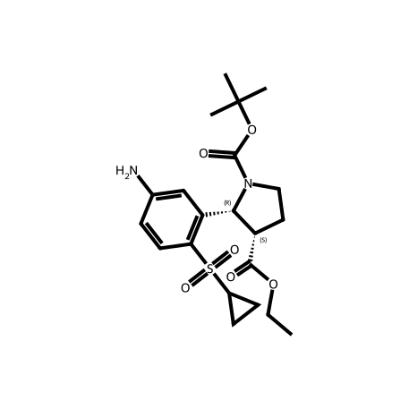 CCOC(=O)[C@H]1CCN(C(=O)OC(C)(C)C)[C@H]1c1cc(N)ccc1S(=O)(=O)C1CC1